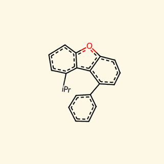 CC(C)c1cccc2oc3cccc(-c4ccccc4)c3c12